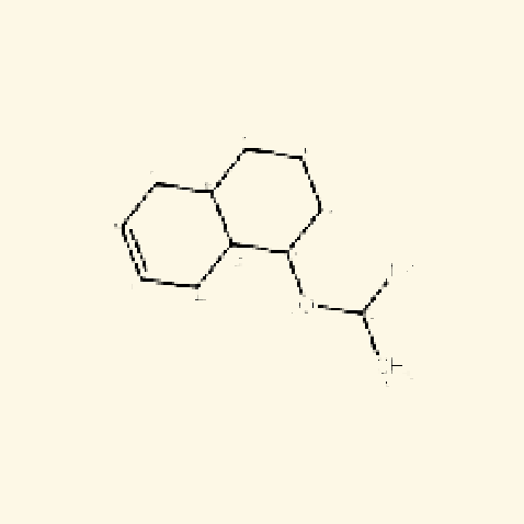 CC([O])OC1CCCC2CC=CCC21